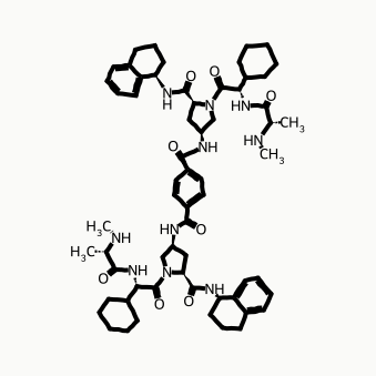 CN[C@@H](C)C(=O)N[C@H](C(=O)N1C[C@@H](NC(=O)c2ccc(C(=O)N[C@H]3C[C@@H](C(=O)N[C@@H]4CCCc5ccccc54)N(C(=O)[C@@H](NC(=O)[C@H](C)NC)C4CCCCC4)C3)cc2)C[C@H]1C(=O)N[C@@H]1CCCc2ccccc21)C1CCCCC1